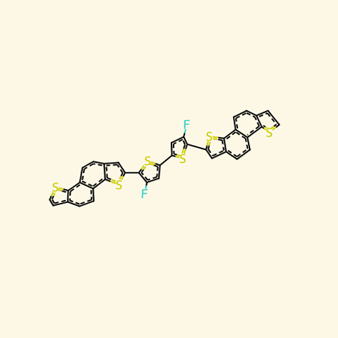 Fc1cc(-c2cc(F)c(-c3cc4ccc5c(ccc6ccsc65)c4s3)s2)sc1-c1cc2ccc3c(ccc4ccsc43)c2s1